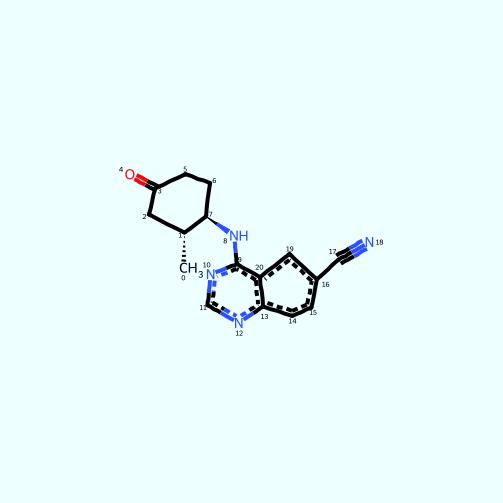 C[C@@H]1CC(=O)CC[C@H]1Nc1ncnc2ccc(C#N)cc12